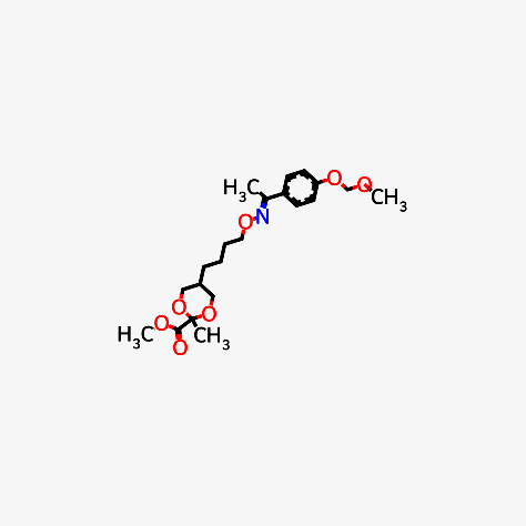 COCOc1ccc(C(C)=NOCCCCC2COC(C)(C(=O)OC)OC2)cc1